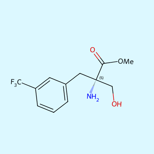 COC(=O)[C@@](N)(CO)Cc1cccc(C(F)(F)F)c1